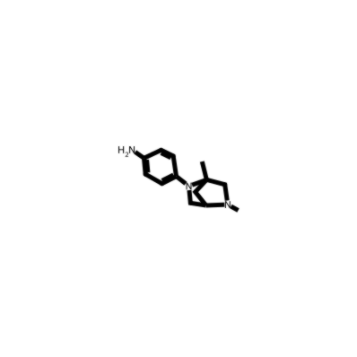 CN1CC2(C)CC1CN2c1ccc(N)cc1